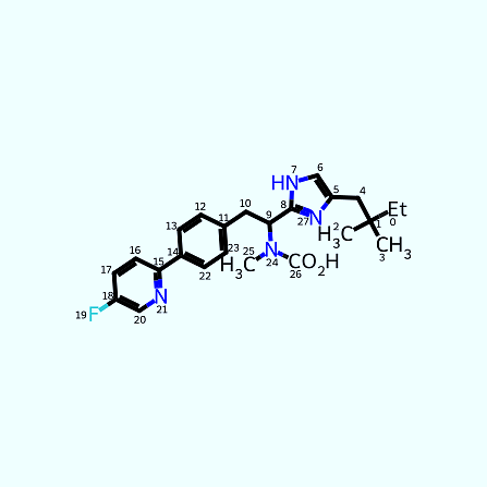 CCC(C)(C)Cc1c[nH]c(C(Cc2ccc(-c3ccc(F)cn3)cc2)N(C)C(=O)O)n1